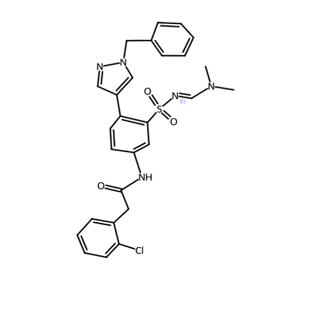 CN(C)/C=N/S(=O)(=O)c1cc(NC(=O)Cc2ccccc2Cl)ccc1-c1cnn(Cc2ccccc2)c1